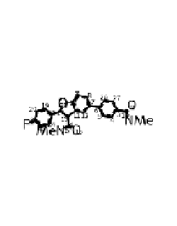 CNC(=O)c1ccc(-c2ccc3c(c2)C(C(=O)NC)C(c2ccc(F)cc2)O3)cc1